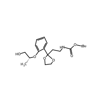 C[C@H](CO)Oc1ccccc1C1(CCNC(=O)OC(C)(C)C)OCCO1